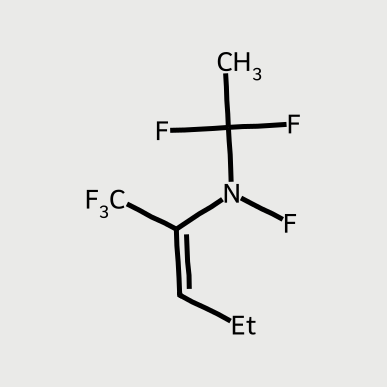 CCC=C(N(F)C(C)(F)F)C(F)(F)F